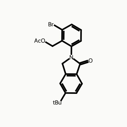 CC(=O)OCc1c(Br)cccc1N1Cc2cc(C(C)(C)C)ccc2C1=O